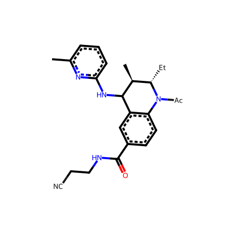 CC[C@H]1[C@H](C)C(Nc2cccc(C)n2)c2cc(C(=O)NCCC#N)ccc2N1C(C)=O